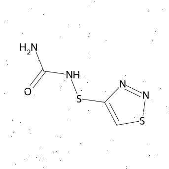 NC(=O)NSc1csnn1